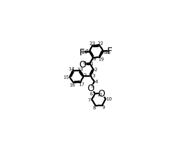 O=C(C=C(COC1CCCCO1)c1ccccc1)c1cc(F)ccc1F